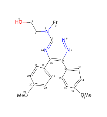 CCN(CCO)c1nnc(-c2ccc(OC)cc2)c(-c2ccc(OC)cc2)n1